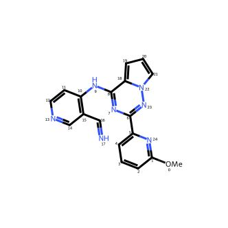 COc1cccc(-c2nc(Nc3ccncc3C=N)c3cccn3n2)n1